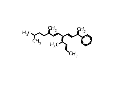 C=C(C=CC(C=CC(=C)c1ccccc1)=C(C)C=CC)CCC(C)C